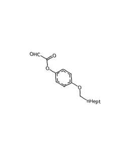 CCCCCCCCOc1ccc(OC(=O)C=O)cc1